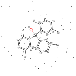 Cc1ccc(C)c([Si]([O])(c2cc(C)ccc2C)c2cc(C)ccc2C)c1